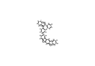 c1ccc(-c2nc3ccccc3n2-c2ccc(-c3ccc4oc5cc6oc7ccccc7c6cc5c4c3)cc2)cc1